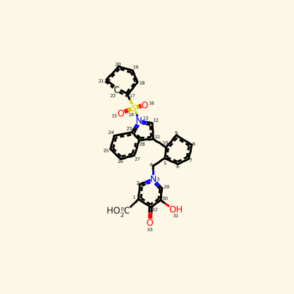 O=C(O)c1cn(Cc2ccccc2-c2cn(S(=O)(=O)c3ccccc3)c3ccccc23)cc(O)c1=O